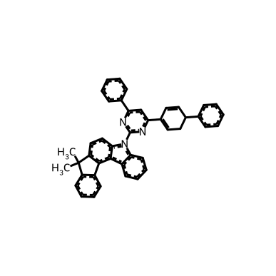 CC1(C)c2ccccc2-c2c1ccc1c2c2ccccc2n1-c1nc(C2=CCC(c3ccccc3)C=C2)cc(-c2ccccc2)n1